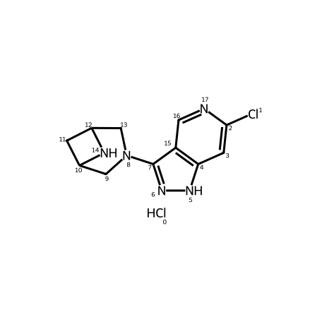 Cl.Clc1cc2[nH]nc(N3CC4CC(C3)N4)c2cn1